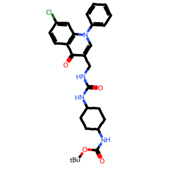 CC(C)(C)OC(=O)NC1CCC(NC(=O)NCc2cn(-c3ccccc3)c3cc(Cl)ccc3c2=O)CC1